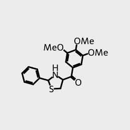 COc1cc(C(=O)C2CSC(c3ccccc3)N2)cc(OC)c1OC